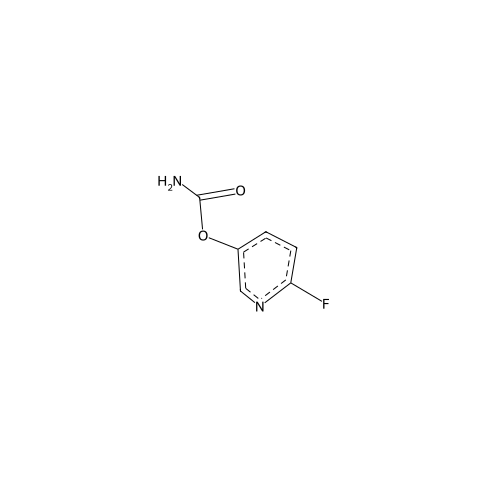 NC(=O)Oc1ccc(F)nc1